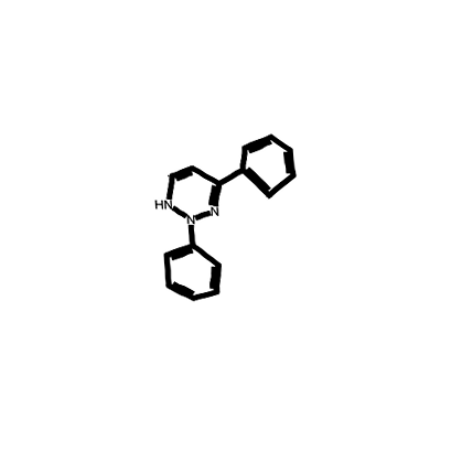 [C]1=CC(c2ccccc2)=NN(c2ccccc2)N1